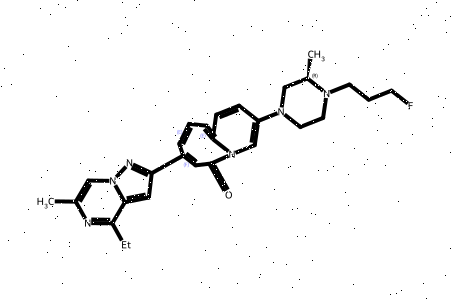 CCc1nc(C)cn2nc(C3=C\C(=O)N4C=C(N5CCN(CCCF)[C@H](C)C5)C=C\C4=C/C=C/3)cc12